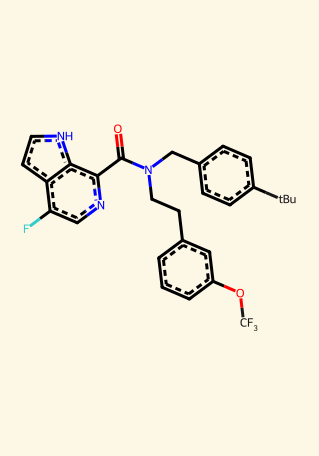 CC(C)(C)c1ccc(CN(CCc2cccc(OC(F)(F)F)c2)C(=O)c2ncc(F)c3cc[nH]c23)cc1